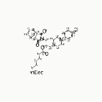 CCCCCCCCCCCCCCCC(=O)OC(CN1CCN(c2ccc(Cl)cc2)CC1)CN1C(=O)C2C3C=CC(C3)C2C1=O